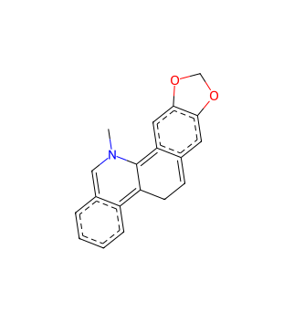 CN1C=c2ccccc2=C2CC=c3cc4c(cc3=C21)OCO4